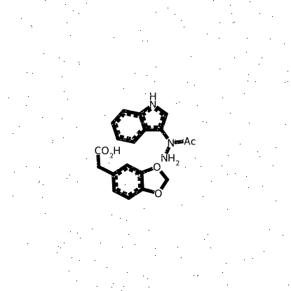 CC(=O)N(N)c1c[nH]c2ccccc12.O=C(O)Cc1ccc2c(c1)OCO2